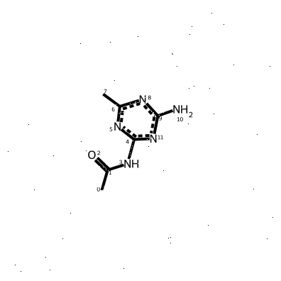 CC(=O)Nc1nc(C)nc(N)n1